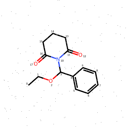 CCOC(c1ccccc1)N1C(=O)CCCC1=O